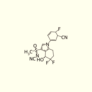 CS(=O)(=NC#N)c1cn(C2=CC(C#N)C(F)C=C2)c2c1[C@H](O)C(F)(F)CC2